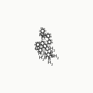 Bc1c(B)c(B)c(-c2ccc3c(-c4cccc(-c5cccc(-n6c(CC)nc7ccccc76)c5)c4)c4ccccc4c(-c4cccc5oc6ccccc6c45)c3c2)c(B)c1B